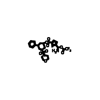 NC(OC(=O)C(F)(F)F)c1ccc(S(=O)(=O)CC2CC(c3ccccc3)CN(S(=O)(=O)N3CCOCC3)C2)s1